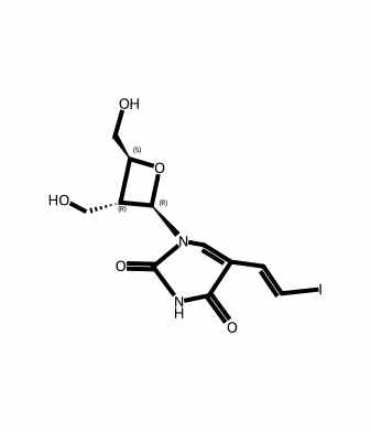 O=c1[nH]c(=O)n([C@@H]2O[C@H](CO)[C@H]2CO)cc1C=CI